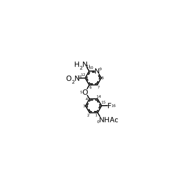 CC(=O)Nc1ccc(Oc2ccnc(N)c2[N+](=O)[O-])cc1F